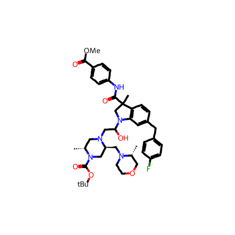 COC(=O)c1ccc(NC(=O)C2(C)CN(C(O)CN3C[C@@H](C)N(C(=O)OC(C)(C)C)C[C@@H]3CN3CCOC[C@H]3C)c3cc(Cc4ccc(F)cc4)ccc32)cc1